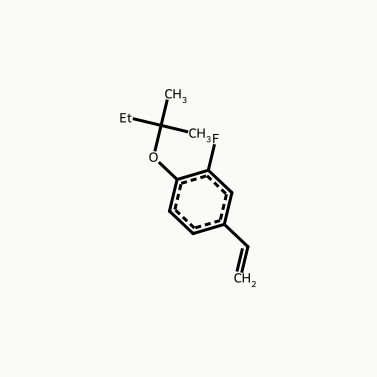 C=Cc1ccc(OC(C)(C)CC)c(F)c1